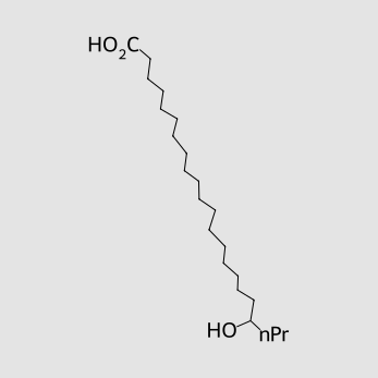 CCCC(O)CCCCCCCCCCCCCCCCCC(=O)O